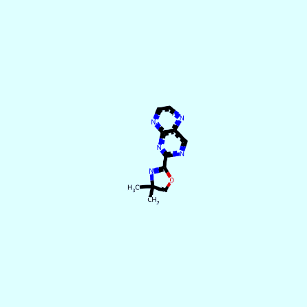 CC1(C)COC(c2ncc3nccnc3n2)=N1